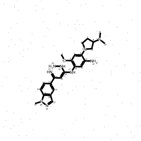 COc1cc(N2CCC(N(C)C)C2)c(N)cc1N/C(=C/C(=N)c1ccc2c(cnn2C)c1)NN